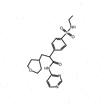 CCNS(=O)(=O)c1ccc(C(CC2CCOCC2)C(=O)Nc2ccncn2)cc1